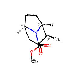 C[C@H]1C(=O)C[C@H]2CC[C@@H]1N2C(=O)OC(C)(C)C